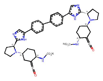 O=C=C1C[C@H](N2CCC[C@H]2c2ncc(-c3ccc(-c4ccc(-c5cnc([C@@H]6CCCN6[C@@H]6CC[C@@H](NC(=O)O)C(=C=O)C6)[nH]5)cc4)cc3)[nH]2)CC[C@H]1NC(=O)O